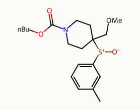 CCCCOC(=O)N1CCC(COC)([S+]([O-])c2cccc(C)c2)CC1